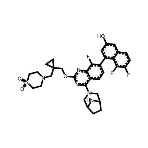 O=S1(=O)CCN(CC2(COc3nc(N4CC5CCC(C4)N5)c4ccc(-c5cc(O)cc6ccc(F)c(F)c56)c(F)c4n3)CC2)CC1